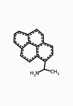 CC(N)c1ccc2ccc3cccc4ccc1c2c34